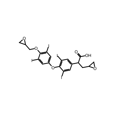 O=C(O)C(CC1CO1)c1cc(I)c(Oc2cc(I)c(OCC3CO3)c(I)c2)c(I)c1